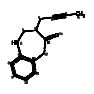 CC#CCC1CNc2ccccc2CC1=O